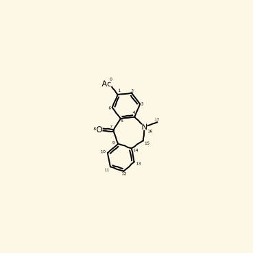 CC(=O)c1ccc2c(c1)C(=O)c1ccccc1CN2C